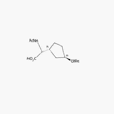 CO[C@@H]1CC[C@@H](C(NC(C)=O)C(=O)O)C1